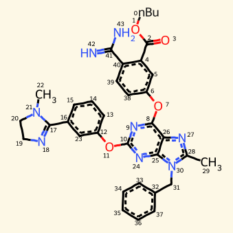 CCCCOC(=O)c1cc(Oc2nc(Oc3cccc(C4=NCCN4C)c3)nc3c2nc(C)n3Cc2ccccc2)ccc1C(=N)N